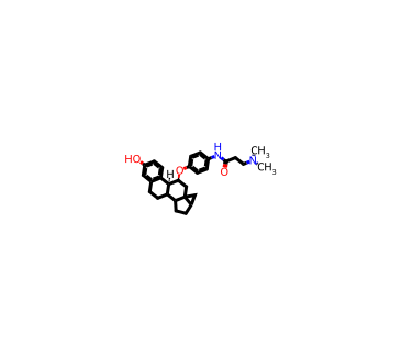 CN(C)CCC(=O)Nc1ccc(O[C@H]2CC34CC3CCC4C3CCc4cc(O)ccc4[C@H]32)cc1